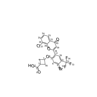 O=C(O)C1CC(Oc2cc(Br)c(C(F)(F)F)cc2-c2cc(=O)c3cccc(Cl)c3o2)C1